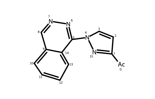 CC(=O)c1ccn(-c2nncc3ccccc23)n1